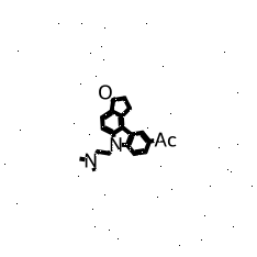 CC(=O)c1ccc2c(c1)c1c3c(ccc1n2CCN(C)C)C(=O)CC3